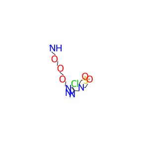 CNCCOCCOCCOCCn1nnc(CN2CCS(=O)(=O)CC2)c1Cl